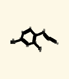 N#Cc1ccc(N=C=S)c(Cl)c1